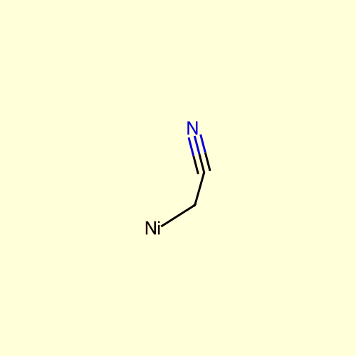 N#C[CH2][Ni]